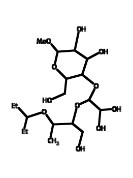 CCC(CC)OC(C)C(CO)OC(OC1C(CO)OC(OC)C(O)C1O)C(O)O